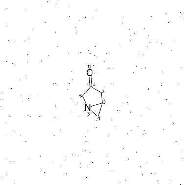 O=C1CC2CN2C1